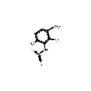 Nc1ccc(C(=O)O)c(O)c1N[SH](=O)=O